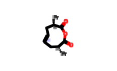 CC(C)[C@@H]1C/C=C/C[C@@H](C(C)C)C(=O)OC1=O